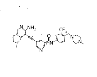 Cc1ccc2cnc(N)c(C#Cc3cncc(C(=O)Nc4ccc(CN5CCN(C)CC5)c(C(F)(F)F)c4)c3)c2c1